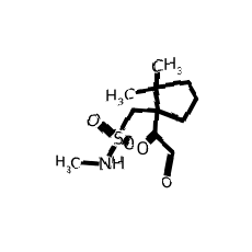 CNS(=O)(=O)CC1(C(=O)C=O)CCCC1(C)C